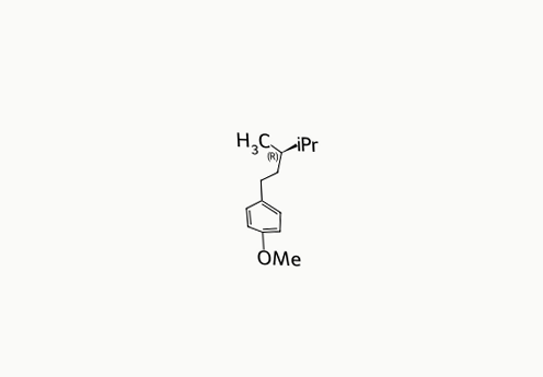 COc1ccc(CC[C@@H](C)C(C)C)cc1